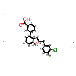 O=C(O)c1cccc(-c2cccc3oc(Cc4ccc(F)c(Cl)c4)cc23)c1